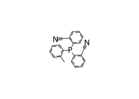 Cc1ccccc1P(c1ccccc1C#N)c1ccccc1C#N